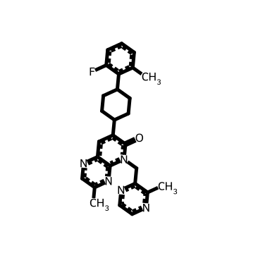 Cc1cnc2cc(C3CCC(c4c(C)cccc4F)CC3)c(=O)n(Cc3nccnc3C)c2n1